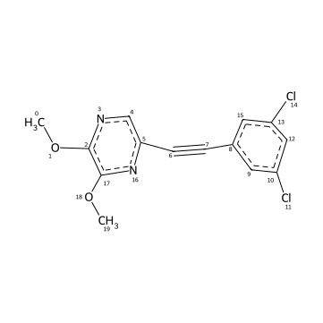 COc1ncc(C#Cc2cc(Cl)cc(Cl)c2)nc1OC